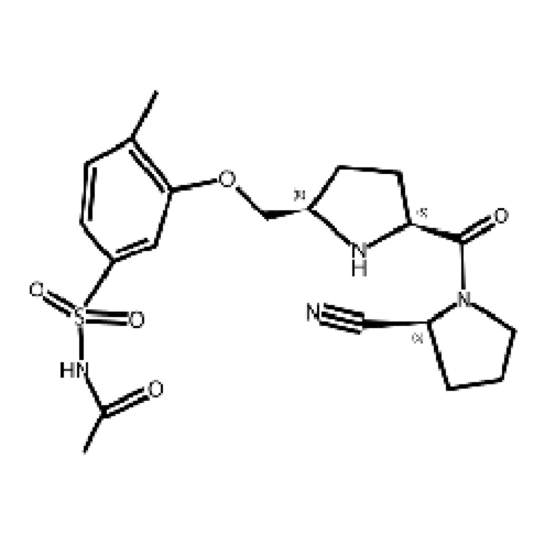 CC(=O)NS(=O)(=O)c1ccc(C)c(OC[C@H]2CC[C@@H](C(=O)N3CCC[C@H]3C#N)N2)c1